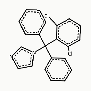 Clc1cccc(Cl)c1C(c1ccccc1)(c1ccccc1)n1ccnc1